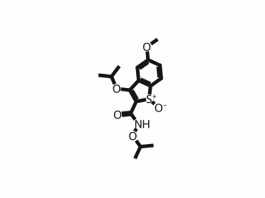 COc1ccc2c(c1)c(OC(C)C)c(C(=O)NOC(C)C)[s+]2[O-]